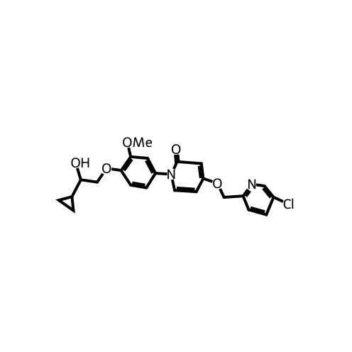 COc1cc(-n2ccc(OCc3ccc(Cl)cn3)cc2=O)ccc1OCC(O)C1CC1